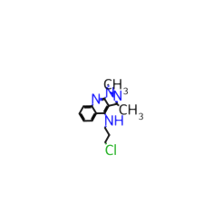 Cc1nn(C)c2nc3ccccc3c(NCCCCl)c12